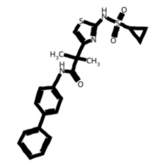 CC(C)(C(=O)Nc1ccc(-c2ccccc2)cc1)c1csc(NS(=O)(=O)C2CC2)n1